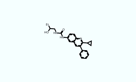 CCC(O)CNC(=O)Nc1ccc2nc(C3CC3)c(-c3ccccc3)cc2c1